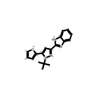 CC(C)(C)n1nc(-c2nc3ccccc3[nH]2)cc1-c1ccco1